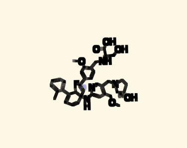 COCc1cc(NC2(/C=C(\F)c3ccc(CN[C@H](CO)C(=O)O)c(OC)c3)C=CC=C(c3ccccc3C)C2C)ncc1CN1CC[C@H](O)C1